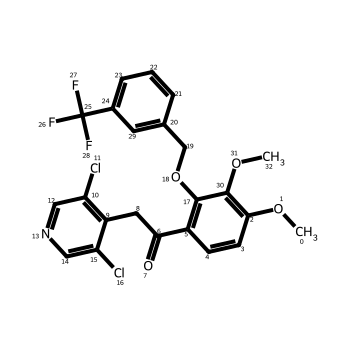 COc1ccc(C(=O)Cc2c(Cl)cncc2Cl)c(OCc2cccc(C(F)(F)F)c2)c1OC